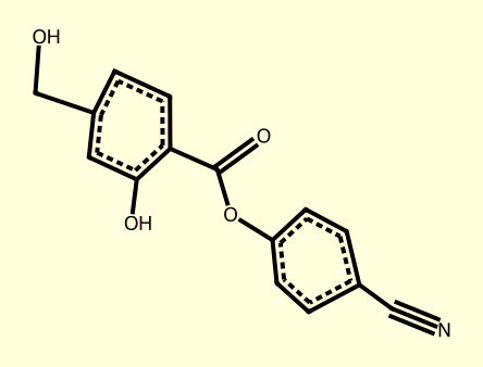 N#Cc1ccc(OC(=O)c2ccc(CO)cc2O)cc1